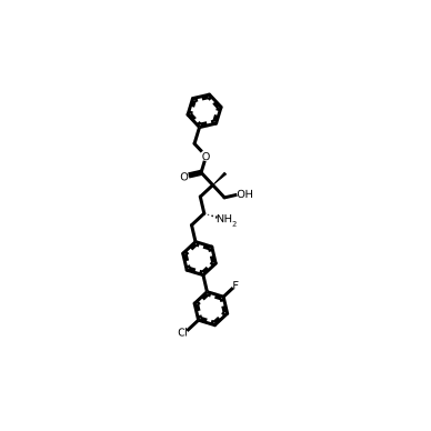 C[C@@](CO)(C[C@H](N)Cc1ccc(-c2cc(Cl)ccc2F)cc1)C(=O)OCc1ccccc1